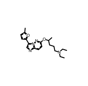 CCN(CC)CCCC(C)Oc1ccc2ncc(-c3ccc(C)o3)n2n1